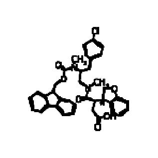 CN(CC(Cc1ccc(Cl)cc1)N(C)C(=O)OCC1c2ccccc2-c2ccccc21)C(=O)C(CC(=O)O)[C@H]1COc2ccccc21